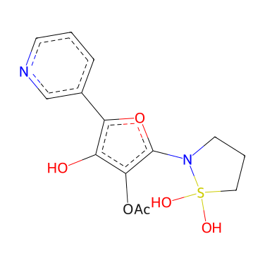 CC(=O)Oc1c(N2CCCS2(O)O)oc(-c2cccnc2)c1O